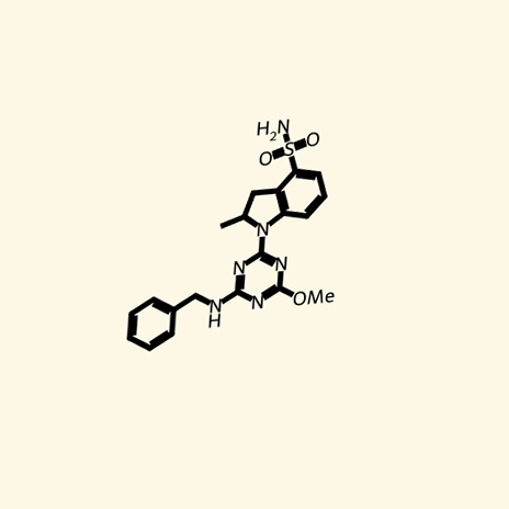 COc1nc(NCc2ccccc2)nc(N2c3cccc(S(N)(=O)=O)c3CC2C)n1